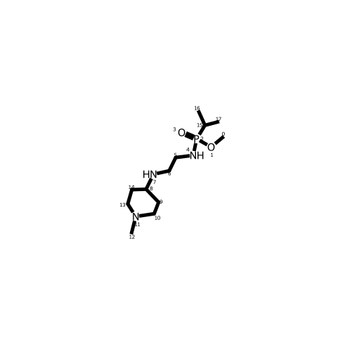 COP(=O)(NCCNC1CCN(C)CC1)C(C)C